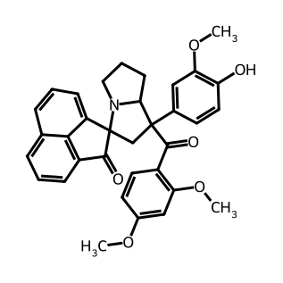 COc1ccc(C(=O)C2(c3ccc(O)c(OC)c3)CC3(C(=O)c4cccc5cccc3c45)N3CCCC32)c(OC)c1